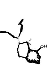 CCCN(CCC)[C@H]1CCc2cccc(O)c2[C@H]1C